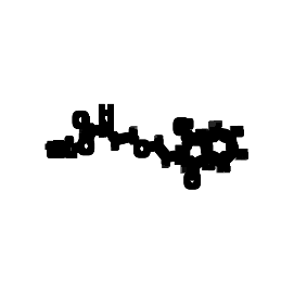 CC(C)(C)OC(=O)NCCOCCN1C(=O)c2ccccc2C1=O